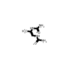 CC(=CNC(N)=O)NC(N)=O